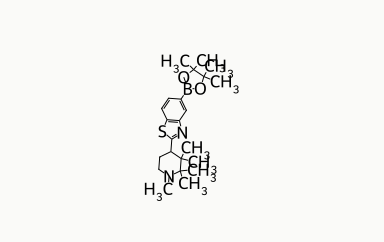 CN1CCC(c2nc3cc(B4OC(C)(C)C(C)(C)O4)ccc3s2)C(C)(C)C1(C)C